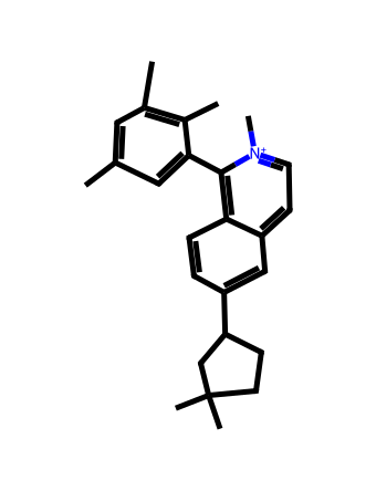 Cc1cc(C)c(C)c(-c2c3ccc(C4CCC(C)(C)C4)cc3cc[n+]2C)c1